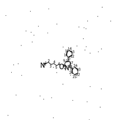 N#CCCCCCOc1cc(-c2ccccc2)cc(-c2ccccc2)n1